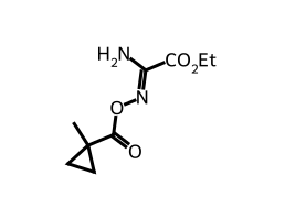 CCOC(=O)/C(N)=N/OC(=O)C1(C)CC1